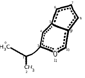 CC(C)c1cc2cccc-2co1